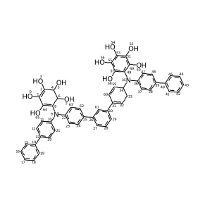 OC1=C(O)C(O)C(O)C(N(c2ccc(-c3ccccc3)cc2)c2ccc(-c3cccc(C4=CCC(N(c5ccc(-c6ccccc6)cc5)c5c(O)c(O)c(O)c(O)c5O)C=C4)c3)cc2)=C1O